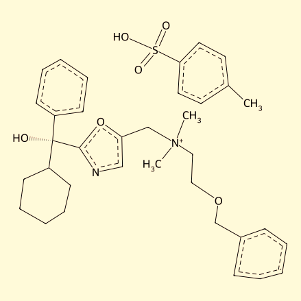 C[N+](C)(CCOCc1ccccc1)Cc1cnc([C@](O)(c2ccccc2)C2CCCCC2)o1.Cc1ccc(S(=O)(=O)O)cc1